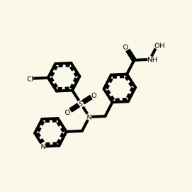 O=C(NO)c1ccc(CN(Cc2cccnc2)S(=O)(=O)c2cccc(Cl)c2)cc1